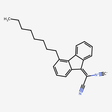 [C-]#[N+]/C(C#N)=C1\c2ccccc2-c2c(CCCCCCCC)cccc21